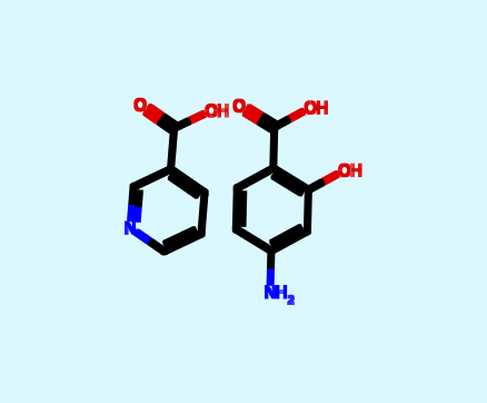 Nc1ccc(C(=O)O)c(O)c1.O=C(O)c1cccnc1